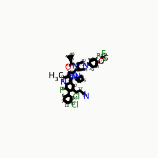 Cc1nc2c(F)c(-c3cccc(Cl)c3Cl)c(CCC#N)cc2c2c1cc(C1C3CC(CN(c4ccc(OC(F)(F)F)cc4)C3)N1C(=O)C1CC1)n2C1C2CNC1C2